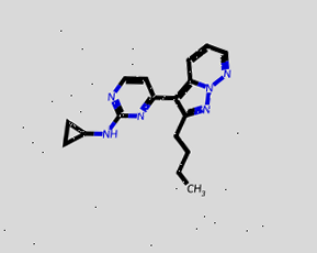 CCCCc1nn2ncccc2c1-c1ccnc(NC2CC2)n1